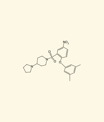 Cc1cc(C)cc(Oc2ccc([N+](=O)[O-])cc2S(=O)(=O)N2CCC(N3CCCC3)CC2)c1